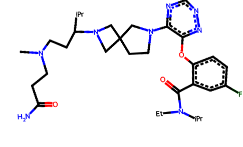 CCN(C(=O)c1cc(F)ccc1Oc1nncnc1N1CCC2(C1)CN(C(CCN(C)CCC(N)=O)C(C)C)C2)C(C)C